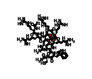 CCC(=O)N[C@H](CCCNC(=N)N)C(=O)N[C@H](CCCNC(=N)N)C(=O)N[C@H](CCCNC(=N)N)C(=O)N[C@H](CCCNC(=N)N)C(=O)N[C@H](CCCNC(=N)N)C(=O)N[C@H](CCCNC(=N)N)C(=O)N[C@H](CCCNC(=N)N)C(=O)N[C@H](Cc1c[nH]c2ccccc12)C(=O)N[C@H](CS)C(N)=O